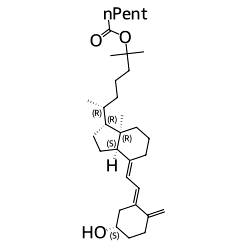 C=C1CC[C@H](O)CC1=CC=C1CCC[C@@]2(C)[C@@H]1CC[C@@H]2[C@H](C)CCCC(C)(C)OC(=O)CCCCC